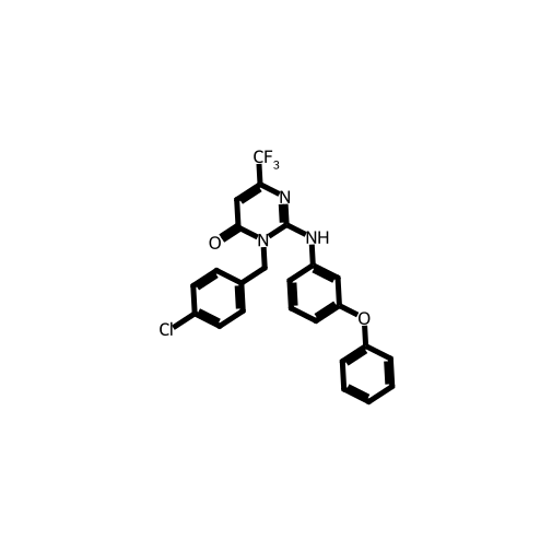 O=c1cc(C(F)(F)F)nc(Nc2cccc(Oc3ccccc3)c2)n1Cc1ccc(Cl)cc1